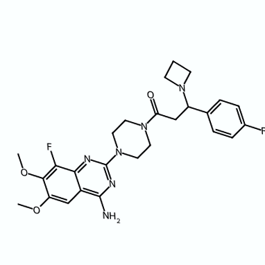 COc1cc2c(N)nc(N3CCN(C(=O)CC(c4ccc(F)cc4)N4CCC4)CC3)nc2c(F)c1OC